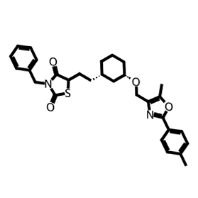 Cc1ccc(-c2nc(CO[C@H]3CCC[C@@H](CCC4SC(=O)N(Cc5ccccc5)C4=O)C3)c(C)o2)cc1